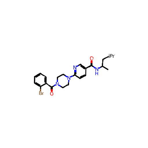 CC(C)CC(C)NC(=O)c1ccc(N2CCN(C(=O)c3ccccc3Br)CC2)nc1